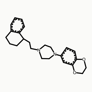 c1ccc2c(c1)CCCC2CCN1CCN(c2ccc3c(c2)OCCO3)CC1